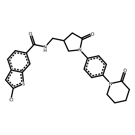 O=C(NCC1CC(=O)N(c2ccc(N3CCCCC3=O)cc2)C1)c1ccc2cc(Cl)sc2c1